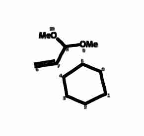 C1CCCCC1.C=CC(OC)OC